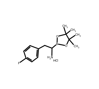 CC1(C)OB(C(N)Cc2ccc(F)cc2)OC1(C)C.Cl